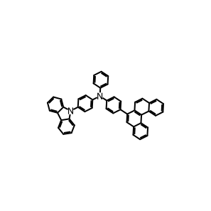 c1ccc(N(c2ccc(-c3cc4ccccc4c4c3ccc3ccccc34)cc2)c2ccc(-n3c4ccccc4c4ccccc43)cc2)cc1